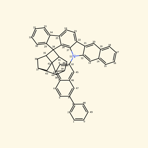 c1ccc(-c2ccc3ccc(-n4c5cc6ccccc6cc5c5ccc6c(c54)C4(c5ccccc5-6)C5CC6CC7CC4C5(C6)C7)cc3c2)cc1